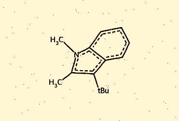 Cc1c(C(C)(C)C)c2ccccc2n1C